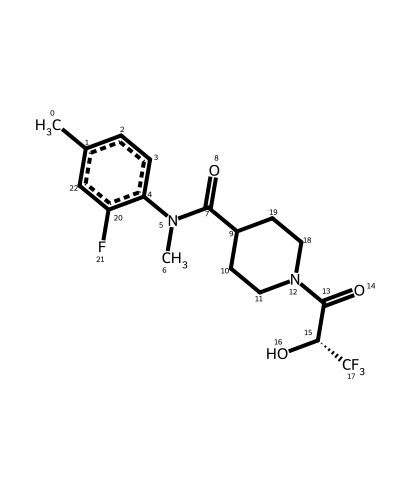 Cc1ccc(N(C)C(=O)C2CCN(C(=O)[C@@H](O)C(F)(F)F)CC2)c(F)c1